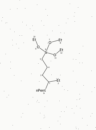 CCCCCC(CC)CCC[Si](OCC)(OCC)OCC